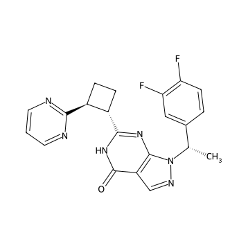 C[C@@H](c1ccc(F)c(F)c1)n1ncc2c(=O)[nH]c([C@H]3CC[C@@H]3c3ncccn3)nc21